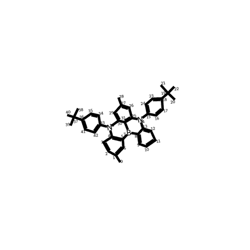 Cc1ccc2c(c1)B1c3ccccc3N(c3ccc(C(C)(C)C)cc3)c3cc(C)cc(c31)N2c1ccc(C(C)(C)C)cc1